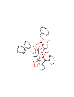 C[C@]12CCC3(C(=O)OCc4ccccc4)C4(C(=O)OCc5ccccc5)CCC(=O)CC4(C(=O)OCc4ccccc4)CCC3(C(=O)OCc3ccccc3)C1(C(=O)OCc1ccccc1)CCC2=O